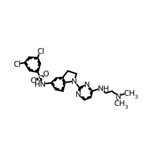 CN(C)CCNc1ccnc(N2CCc3cc(NS(=O)(=O)c4cc(Cl)cc(Cl)c4)ccc32)n1